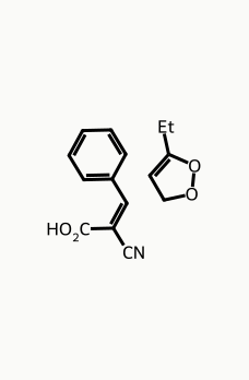 CCC1=CCOO1.N#CC(=Cc1ccccc1)C(=O)O